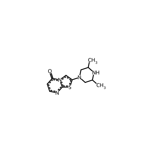 CC1CN(c2cn3c(=O)ccnc3s2)CC(C)N1